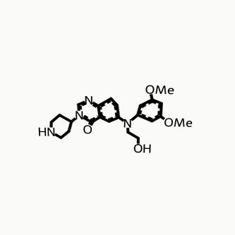 COc1cc(OC)cc(N(CCO)c2ccc3ncn(C4CCNCC4)c(=O)c3c2)c1